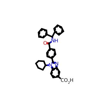 O=C(O)c1ccc2c(c1)nc(-c1ccc(C(=O)NC(c3ccccc3)c3ccccc3)cc1)n2C1CCCCC1